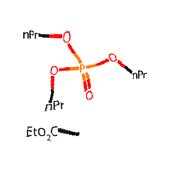 CCCOP(=O)(OCCC)OCCC.CCOC(C)=O